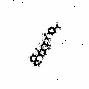 CC(=O)c1ccc(NC(=O)OC2[C@@H](C)c3c(cc(F)c(-c4cccc5cc[nH]c45)c3F)NC2(C)C)cc1